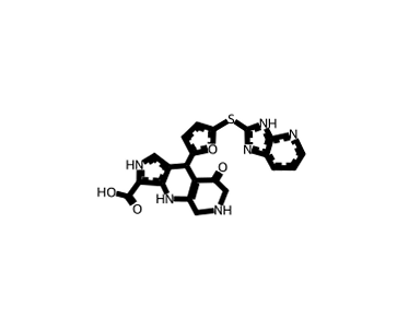 O=C1CNCC2=C1C(c1ccc(Sc3nc4cccnc4[nH]3)o1)c1c[nH]c(C(=O)O)c1N2